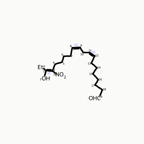 CC/C(O)=C(\CCCC/C=C\C/C=C\CCCCCC[C]=O)[N+](=O)[O-]